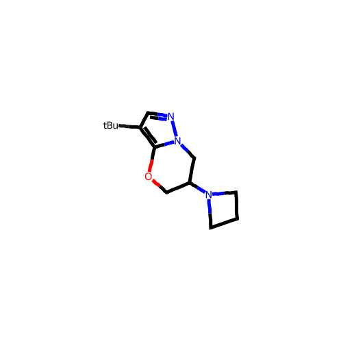 CC(C)(C)c1cnn2c1OCC(N1CCC1)C2